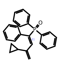 C=C(/C=C(\c1ccccc1)P(=O)(c1ccccc1)c1ccccc1)C1CC1